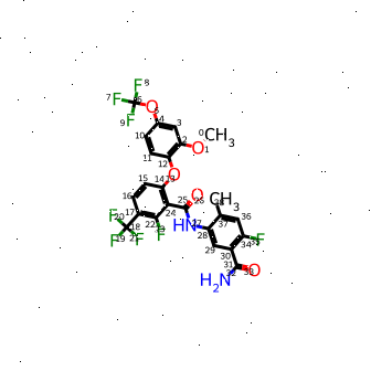 COc1cc(OC(F)(F)F)ccc1Oc1ccc(C(F)(F)F)c(F)c1C(=O)Nc1cc(C(N)=O)c(F)cc1C